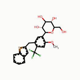 COc1cc(C(F)(F)F)c(Cc2cc3ccccc3s2)cc1C1OC(CO)[C@@H](O)C(O)[C@H]1O